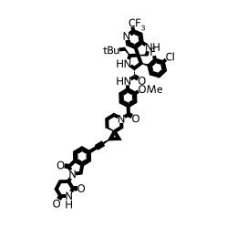 COc1cc(C(=O)N2CCC[C@]3(C[C@H]3C#Cc3ccc4c(c3)CN(C3CCC(=O)NC3=O)C4=O)C2)ccc1NC(=O)[C@@H]1N[C@@H](CC(C)(C)C)[C@@]2(CNc3cc(C(F)(F)F)ncc32)[C@H]1c1cccc(Cl)c1F